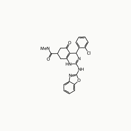 CNC(=O)C1CC(=O)C2=C(C1)NC(Nc1nc3ccccc3o1)=NC2c1ccccc1Cl